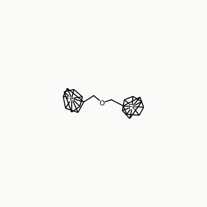 C(OC[C]12[CH]3[CH]4[CH]5[CH]1[Fe]45321678[CH]2[CH]1[CH]6[CH]7[CH]28)[C]12[CH]3[CH]4[CH]5[CH]1[Fe]45321678[CH]2[CH]1[CH]6[CH]7[CH]28